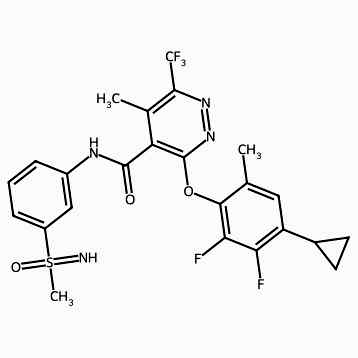 Cc1cc(C2CC2)c(F)c(F)c1Oc1nnc(C(F)(F)F)c(C)c1C(=O)Nc1cccc(S(C)(=N)=O)c1